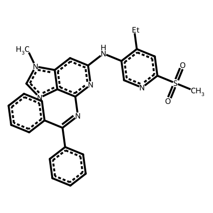 CCc1cc(S(C)(=O)=O)ncc1Nc1cc2c(ncn2C)c(N=C(c2ccccc2)c2ccccc2)n1